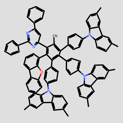 Cc1ccc2c(c1)c1cc(C)ccc1n2-c1ccc(-c2c(C#N)c(-c3cc(-c4ccccc4)nc(-c4ccccc4)n3)c(-c3cccc4c3oc3ccccc34)c(-c3ccc(-n4c5ccc(C)cc5c5cc(C)ccc54)cc3)c2-c2ccc(-n3c4ccc(C)cc4c4cc(C)ccc43)cc2)cc1